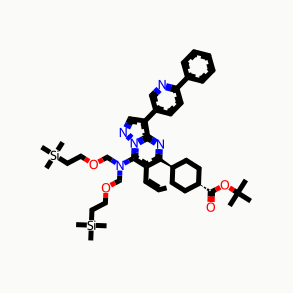 C/C=C\c1c(N(COCC[Si](C)(C)C)COCC[Si](C)(C)C)n2ncc(-c3ccc(-c4ccccc4)nc3)c2nc1[C@H]1CC[C@H](C(=O)OC(C)(C)C)CC1